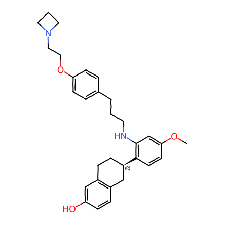 COc1ccc([C@@H]2CCc3cc(O)ccc3C2)c(NCCCc2ccc(OCCN3CCC3)cc2)c1